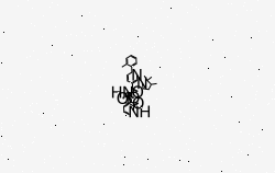 Cc1ccccc1-c1ccc(C(=O)NS(=O)(=O)c2ccc[nH]c2=O)c(N2CCC(C)C2(C)C)n1